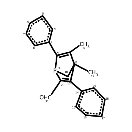 CC1=C(c2ccccc2)P2CC1(C)C(c1ccccc1)=C2C=O